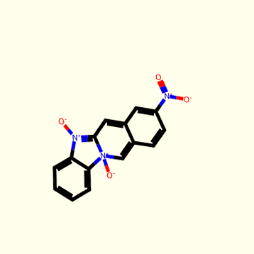 O=[N+]([O-])c1ccc2c(c1)=CC1=[N+]([O-])c3ccccc3[N+]1([O-])C=2